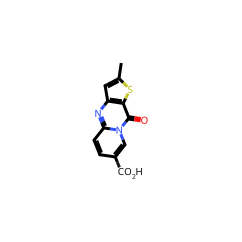 Cc1cc2nc3ccc(C(=O)O)cn3c(=O)c2s1